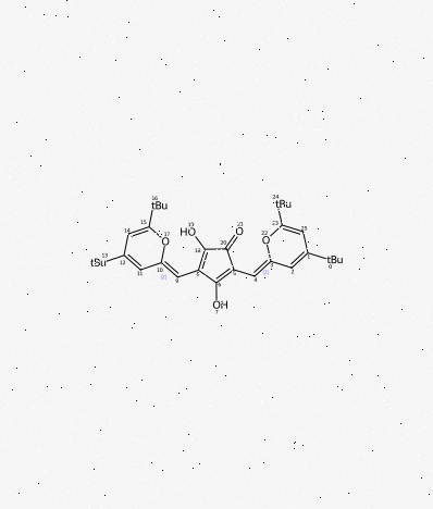 CC(C)(C)C1=C/C(=C/C2=C(O)C(/C=C3/C=C(C(C)(C)C)C=C(C(C)(C)C)O3)=C(O)C2=O)OC(C(C)(C)C)=C1